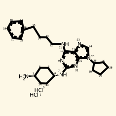 Cl.Cl.N[C@H]1CC[C@H](Nc2nc(NCCCCc3ccccc3)c3ncn(C4CCCC4)c3n2)CC1